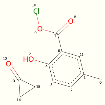 Cc1ccc(O)c(C(=O)OCl)c1.O=C1CC1